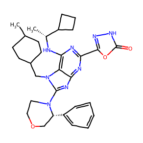 CC1CCC(Cn2c(N3CCOC[C@H]3c3ccccc3)nc3nc(-c4n[nH]c(=O)o4)nc(N[C@H](C)C4CCC4)c32)CC1